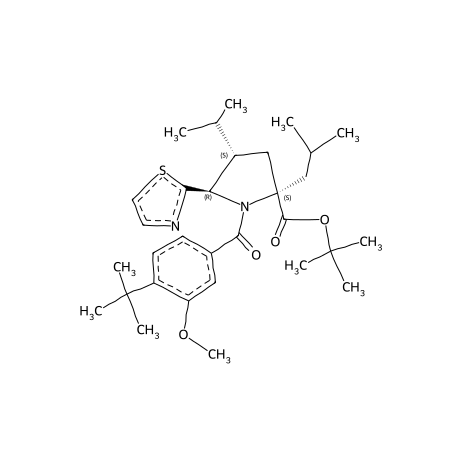 COc1cc(C(=O)N2[C@@H](c3nccs3)[C@H](C(C)C)C[C@@]2(CC(C)C)C(=O)OC(C)(C)C)ccc1C(C)(C)C